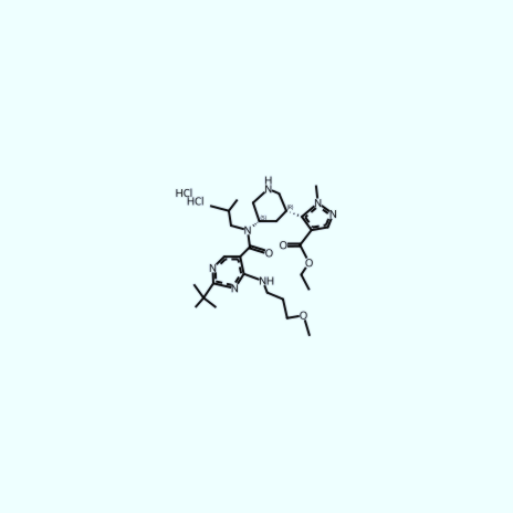 CCOC(=O)c1cnn(C)c1[C@H]1CNC[C@@H](N(CC(C)C)C(=O)c2cnc(C(C)(C)C)nc2NCCCOC)C1.Cl.Cl